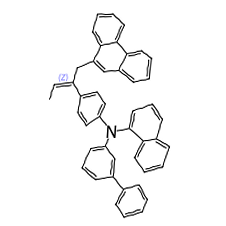 C/C=C(/Cc1cc2ccccc2c2ccccc12)c1ccc(N(c2cccc(-c3ccccc3)c2)c2cccc3ccccc23)cc1